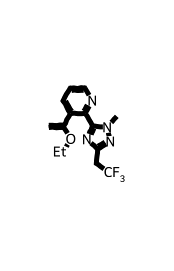 C=C(OCC)c1cccnc1-c1nc(CC(F)(F)F)nn1C